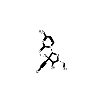 Nc1ccn([C@@H]2O[C@H](CO)C(O)[C@]2(N)C#CCl)c(=O)n1